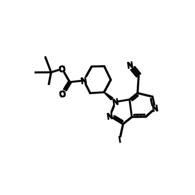 CC(C)(C)OC(=O)N1CCC[C@@H](n2nc(I)c3cncc(C#N)c32)C1